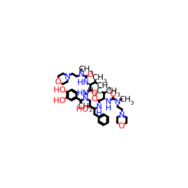 C=C(c1ccc(O)c(O)c1)N(CC(O)C(Cc1ccccc1)NC(=O)[C@@H](NC(=O)N(C)CCN1CCOCC1)C(C)C)NC(=O)[C@@H](NC(=O)N(C)CCN1CCOCC1)C(C)C